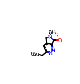 BN1Cc2cc(CC(C)(C)C)nnc2C1=O